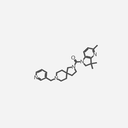 Cc1ccc2c(n1)C(C)(C)CN2C(=O)N1CCC2(CCN(Cc3cccnc3)CC2)C1